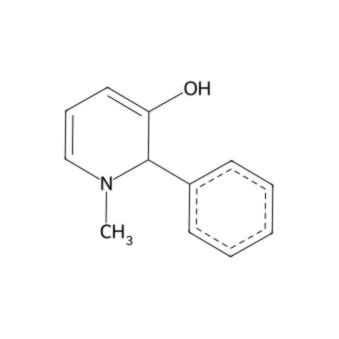 CN1C=CC=C(O)C1c1ccccc1